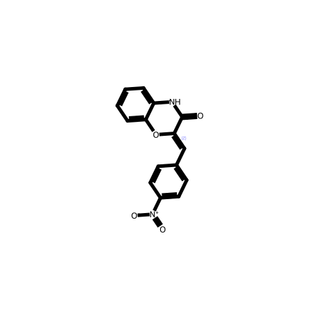 O=C1Nc2ccccc2O/C1=C\c1ccc([N+](=O)[O-])cc1